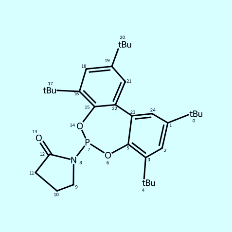 CC(C)(C)c1cc(C(C)(C)C)c2op(N3CCCC3=O)oc3c(C(C)(C)C)cc(C(C)(C)C)cc3c2c1